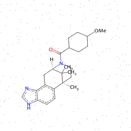 COC1CCC(C(=O)N2CC[C@@]3(C)c4ccc5[nH]cnc5c4C[C@@H]2C3(C)C)CC1